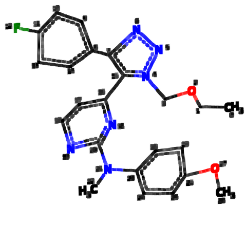 CCOCn1nnc(-c2ccc(F)cc2)c1-c1ccnc(N(C)c2ccc(OC)cc2)n1